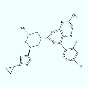 Cc1cnc2c(-c3ccc(F)cc3F)nc([C@H]3C[C@@H](C)O[C@H](c4cnn(C5CC5)c4)C3)nc2n1